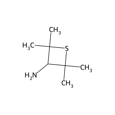 CC1(C)SC(C)(C)C1N